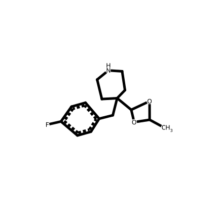 CC1OC(C2(Cc3ccc(F)cc3)CCNCC2)O1